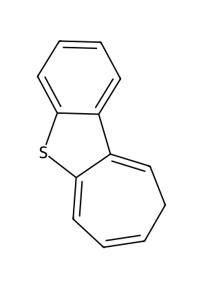 C1=CCC=c2c(sc3ccccc23)=C1